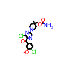 COc1cc(C(=O)c2ncc(N3CCC(C)(COC(N)=O)CC3)nc2Cl)ccc1Cl